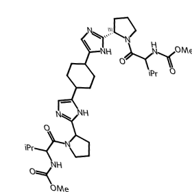 COC(=O)NC(C(=O)N1CCCC1c1ncc(C2CCC(c3cnc([C@@H]4CCCN4C(=O)C(NC(=O)OC)C(C)C)[nH]3)CC2)[nH]1)C(C)C